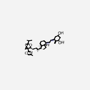 C=C1/C(=C\C=C2/CCC[C@]3(C)[C@@H]([C@H](C)CC[C@H](OC(=O)C(C)C)C4(c5nc(C)co5)CC4)CC[C@@H]23)C[C@@H](O)C[C@@H]1O